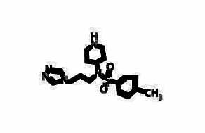 Cc1ccc(S(=O)(=O)N(CCCn2cnnc2)C2CCNCC2)cc1